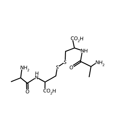 CC(N)C(=O)NC(CSSCC(NC(=O)C(C)N)C(=O)O)C(=O)O